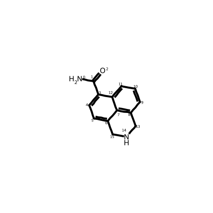 NC(=O)c1ccc2c3c(cccc13)CNC2